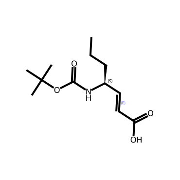 CCC[C@@H](/C=C/C(=O)O)NC(=O)OC(C)(C)C